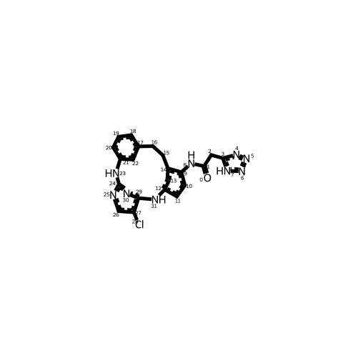 O=C(Cc1nnn[nH]1)Nc1ccc2cc1CCc1cccc(c1)Nc1ncc(Cl)c(n1)N2